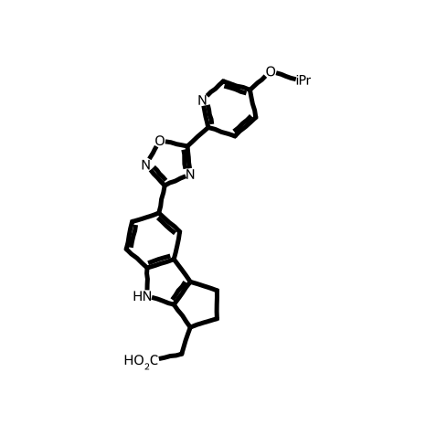 CC(C)Oc1ccc(-c2nc(-c3ccc4[nH]c5c(c4c3)CCC5CC(=O)O)no2)nc1